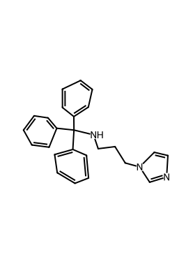 c1ccc(C(NCCCn2ccnc2)(c2ccccc2)c2ccccc2)cc1